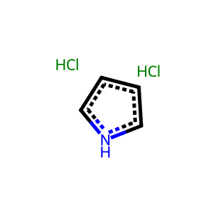 Cl.Cl.c1cc[nH]c1